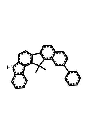 CC1(C)c2c(ccc3ccc(-c4ccccc4)cc23)-c2ccc3[nH]c4ccccc4c3c21